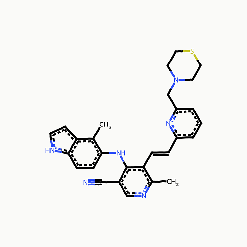 Cc1ncc(C#N)c(Nc2ccc3[nH]ccc3c2C)c1C=Cc1cccc(CN2CCSCC2)n1